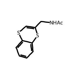 CC(=O)NCC1=CSc2ccccc2S1